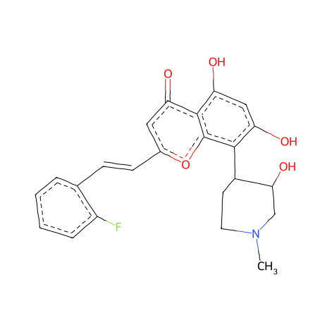 CN1CCC(c2c(O)cc(O)c3c(=O)cc(C=Cc4ccccc4F)oc23)C(O)C1